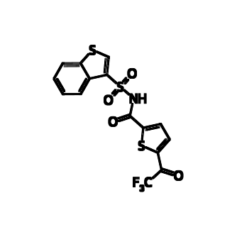 O=C(NS(=O)(=O)c1csc2ccccc12)c1ccc(C(=O)C(F)(F)F)s1